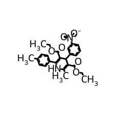 CCOC(=O)C1=C(C)NC(c2ccc(C)cc2)=C(C(=O)OCC)C1c1cccc([N+](=O)[O-])c1